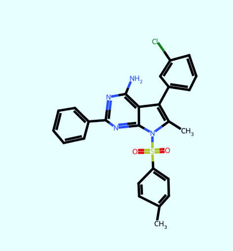 Cc1ccc(S(=O)(=O)n2c(C)c(-c3cccc(Cl)c3)c3c(N)nc(-c4ccccc4)nc32)cc1